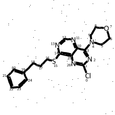 Clc1nc(N2CCOCC2)c2ncnc(SCCCc3ccccc3)c2n1